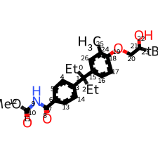 CCC(CC)(c1ccc(C(=O)NC(=O)OC)cc1)c1ccc(OCC(O)C(C)(C)C)c(C)c1